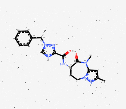 Cc1cc2n(n1)CC[C@H](NC(=O)c1ncn([C@@H](C)c3ccccc3)n1)C(=O)N2C